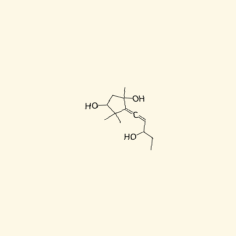 CCC(O)C=C=C1C(C)(O)CC(O)C1(C)C